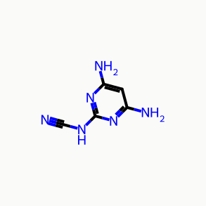 N#CNc1nc(N)cc(N)n1